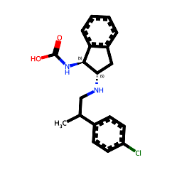 CC(CN[C@H]1Cc2ccccc2[C@@H]1NC(=O)O)c1ccc(Cl)cc1